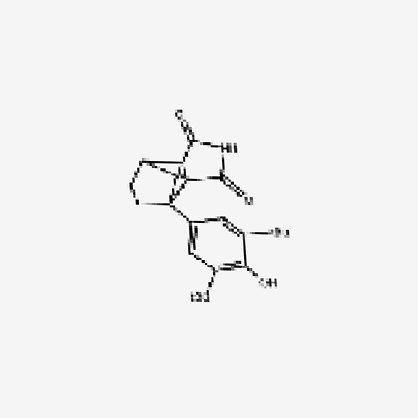 CC(C)(C)c1cc(C23CCC(C2)C2=C3C(=O)NC2=O)cc(C(C)(C)C)c1O